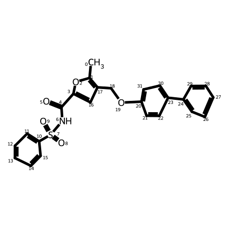 Cc1oc(C(=O)NS(=O)(=O)c2ccccc2)cc1COc1ccc(-c2ccccc2)cc1